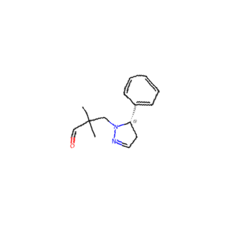 CC(C)(C=O)CN1N=CC[C@H]1c1ccccc1